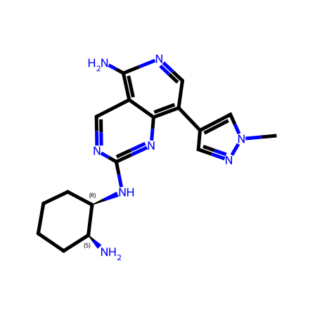 Cn1cc(-c2cnc(N)c3cnc(N[C@@H]4CCCC[C@@H]4N)nc23)cn1